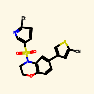 CCc1ccc(S(=O)(=O)N2CCOc3ccc(-c4csc(C#N)c4)cc32)cn1